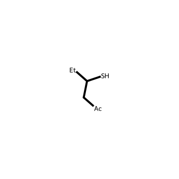 CCC(S)CC(C)=O